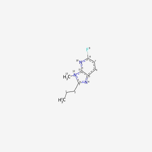 CCCc1nc2ccc(F)nc2n1C